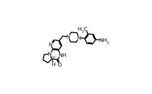 Cc1cc(N)ccc1N1CCN(Cc2cnc3c(c2)NC(=O)[C@@H]2CCCN32)CC1